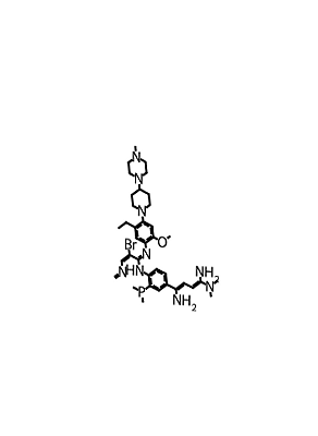 C=N/C=C(Br)\C(=N/c1cc(CC)c(N2CCC(N3CCN(C)CC3)CC2)cc1OC)Nc1ccc(/C(N)=C/C=C(\N)N(C)C)cc1P(C)C